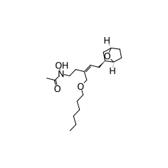 CCCCCCOC/C(=C\C[C@H]1C[C@H]2CC[C@@H]1O2)CCN(O)C(C)=O